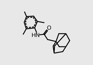 Cc1cc(C)c(NC(=O)CC23CC4CC(CC(C4)C2)C3)c(C)c1